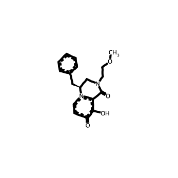 COCCN1C[C@H](Cc2ccccc2)n2ccc(=O)c(O)c2C1=O